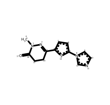 CN1N=C(c2ccc(-n3ccnc3)s2)CCC1=O